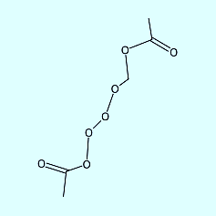 CC(=O)OCOOOOC(C)=O